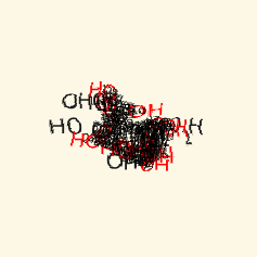 Cc1cc(C(c2cc(C)c(O)cc2C)c2cc(C3(c4cc(C)c(OCC(=O)O)c(C(c5cc(C)c(O)cc5C)c5cc(C)c(O)cc5C)c4)CCC(C4CCC(c5cc(C)c(OCOC=O)c(C(c6cc(C)c(O)cc6C)c6cc(C)c(O)cc6C)c5)(c5cc(C)c(OCC(=O)O)c(C(c6cc(C)c(O)cc6C)c6cc(C)c(O)cc6C)c5)CC4)CC3)cc(C)c2OCOC=O)c(C)cc1O